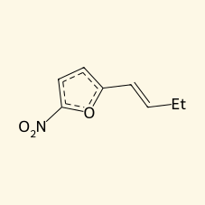 CC/C=C/c1ccc([N+](=O)[O-])o1